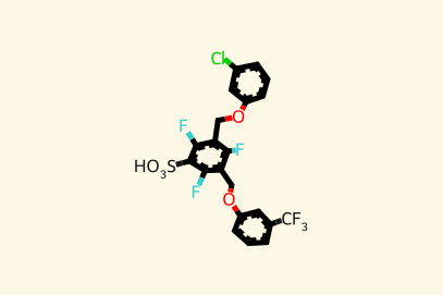 O=S(=O)(O)c1c(F)c(COc2cccc(Cl)c2)c(F)c(COc2cccc(C(F)(F)F)c2)c1F